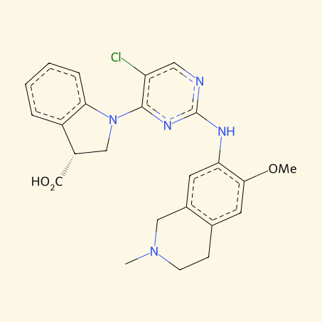 COc1cc2c(cc1Nc1ncc(Cl)c(N3C[C@H](C(=O)O)c4ccccc43)n1)CN(C)CC2